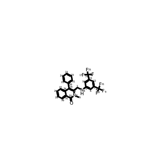 Cn1c(CNc2cc(C(F)(F)F)cc(C(F)(F)F)c2)c(-c2ccccc2)c2ccccc2c1=O